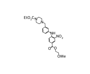 CCOC(=O)N1CCN(Cc2cccc(Nc3ccc(C(=O)OCCOC)cc3[N+](=O)[O-])c2)CC1